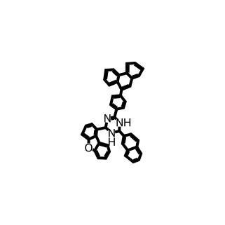 c1ccc2cc(C3NC(c4ccc(-c5cc6ccccc6c6ccccc56)cc4)=NC(c4cccc5oc6ccccc6c45)N3)ccc2c1